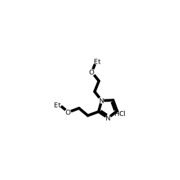 CCOCCc1nccn1CCOCC.Cl